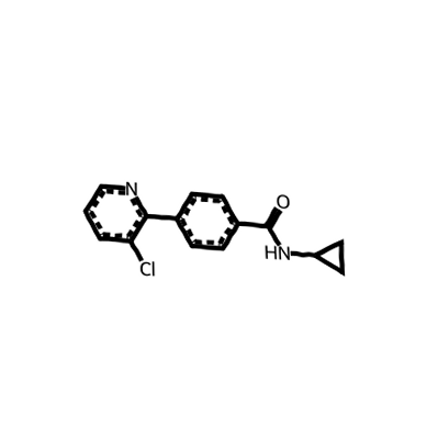 O=C(NC1CC1)c1ccc(-c2ncccc2Cl)cc1